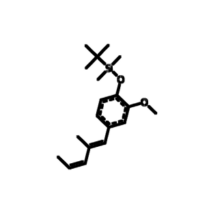 C/C=C\C(C)=C\c1ccc(O[Si](C)(C)C(C)(C)C)c(OC)c1